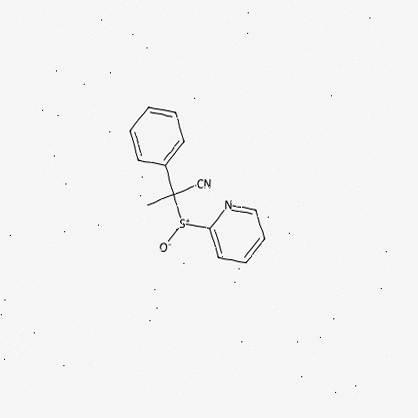 CC(C#N)(c1ccccc1)[S+]([O-])c1ccccn1